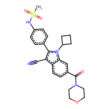 CS(=O)(=O)Nc1ccc(-c2c(C#N)c3ccc(C(=O)N4CCOCC4)cc3n2C2CCC2)cc1